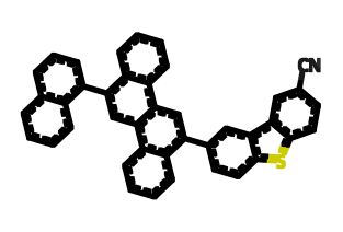 N#Cc1ccc2sc3ccc(-c4cc5c6ccccc6c(-c6cccc7ccccc67)cc5c5ccccc45)cc3c2c1